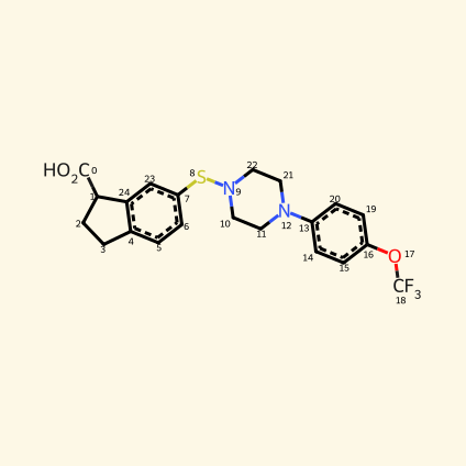 O=C(O)C1CCc2ccc(SN3CCN(c4ccc(OC(F)(F)F)cc4)CC3)cc21